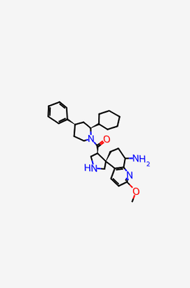 COc1ccc2c(n1)C(N)CC[C@]21CNC[C@H]1C(=O)N1CC[C@@H](c2ccccc2)C[C@H]1C1CCCCC1